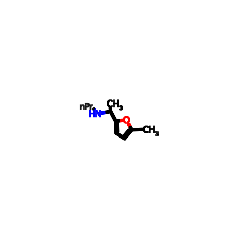 CCCNC(C)c1ccc(C)o1